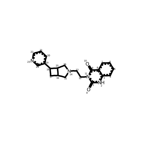 O=c1[nH]c2ccccc2c(=O)n1CCN1CC2CC(c3cccnc3)C2C1